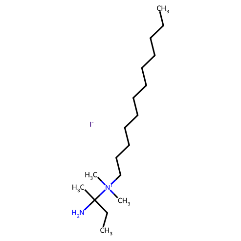 CCCCCCCCCCCC[N+](C)(C)C(C)(N)CC.[I-]